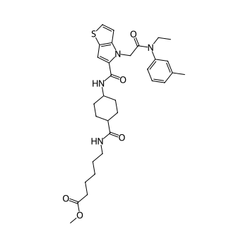 CCN(C(=O)Cn1c(C(=O)NC2CCC(C(=O)NCCCCCC(=O)OC)CC2)cc2sccc21)c1cccc(C)c1